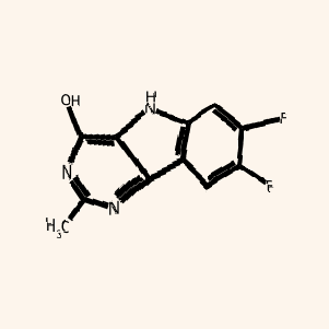 Cc1nc(O)c2[nH]c3cc(F)c(F)cc3c2n1